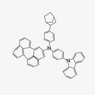 c1ccc(-c2cccc3cccc(-c4cccc(N(c5ccc(C6CC7CCC6C7)cc5)c5ccc(-n6c7ccccc7c7ccccc76)cc5)c4)c23)cc1